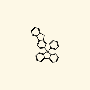 c1ccc([Si]2(c3ccc4c(c3)Cc3ccccc3-4)c3ccccc3-c3ccccc32)cc1